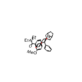 CCN(CC)C(=O)c1ccc(C(=C2CC3CCC(C2)N3CCc2ccc(OC)cc2)c2ccccc2)cc1